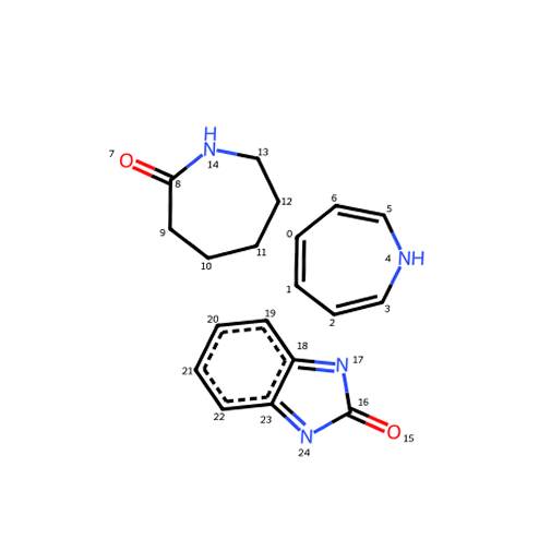 C1=CC=CNC=C1.O=C1CCCCCN1.O=C1N=c2ccccc2=N1